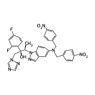 C[C@@H](n1ncc2cc(N(Cc3ccc([N+](=O)[O-])cc3)Cc3ccc([N+](=O)[O-])cc3)ccc21)[C@](O)(Cn1cncn1)c1ccc(F)cc1F